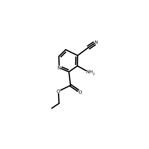 CCOC(=O)c1nccc(C#N)c1N